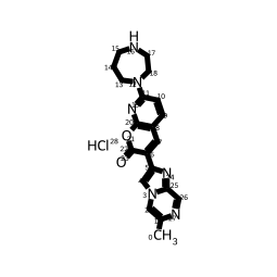 Cc1cn2cc(-c3cc4ccc(N5CCCNCC5)nc4oc3=O)nc2cn1.Cl